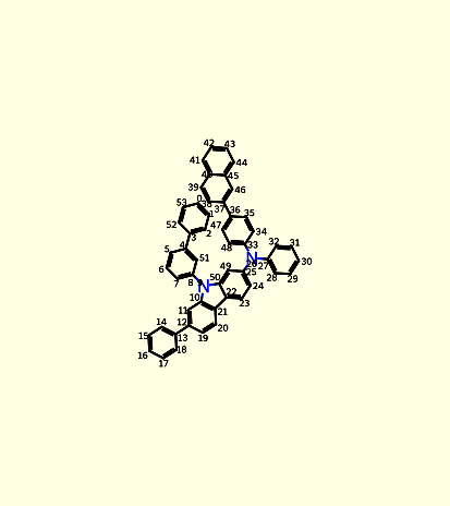 c1ccc(-c2cccc(-n3c4cc(-c5ccccc5)ccc4c4ccc(N(c5ccccc5)c5ccc(-c6ccc7ccccc7c6)cc5)cc43)c2)cc1